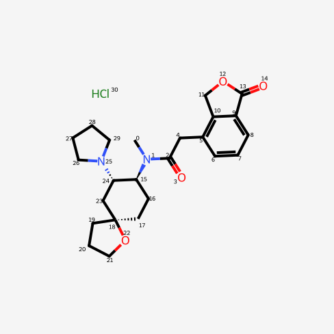 CN(C(=O)Cc1cccc2c1COC2=O)[C@H]1CC[C@]2(CCCO2)C[C@@H]1N1CCCC1.Cl